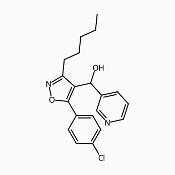 CCCCCc1noc(-c2ccc(Cl)cc2)c1C(O)c1cccnc1